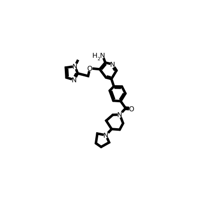 Cn1ccnc1COc1cc(-c2ccc(C(=O)N3CCC(N4CCCC4)CC3)cc2)cnc1N